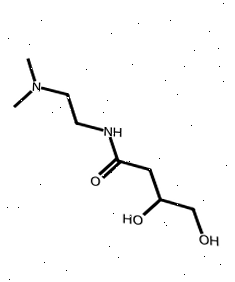 CN(C)CCNC(=O)CC(O)CO